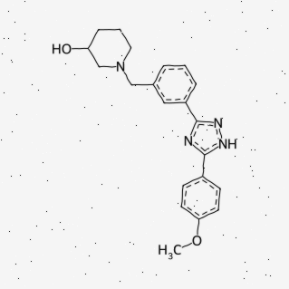 COc1ccc(-c2nc(-c3cccc(CN4CCCC(O)C4)c3)n[nH]2)cc1